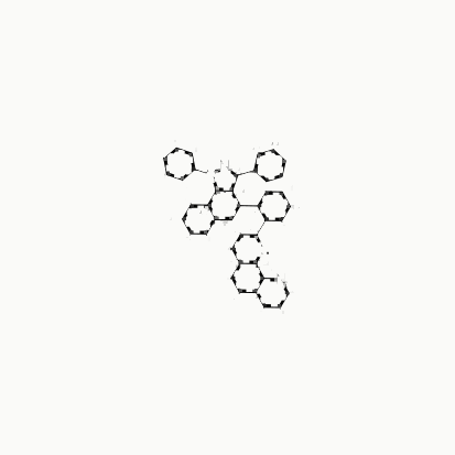 c1ccc(-c2nn(-c3ccccc3)c3c2c(-c2ccccc2-c2ccc4ccc5cccnc5c4n2)cc2ccccc23)cc1